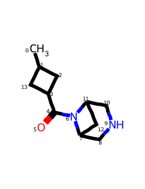 CC1CC(C(=O)N2C3CNCC2C3)C1